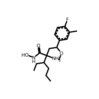 CCCC(CC)C(N)(CC(OC)c1ccc(F)c(C)c1)C(=O)NO